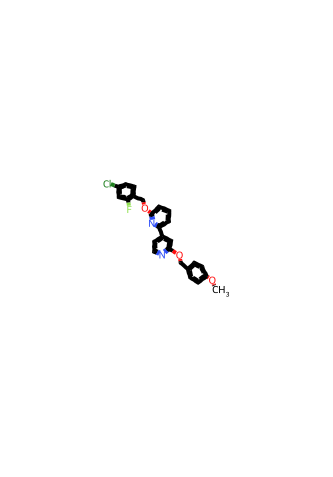 COc1ccc(COc2cc(-c3cccc(OCc4ccc(Cl)cc4F)n3)ccn2)cc1